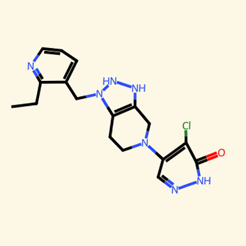 CCc1ncccc1CN1NNC2=C1CCN(c1cn[nH]c(=O)c1Cl)C2